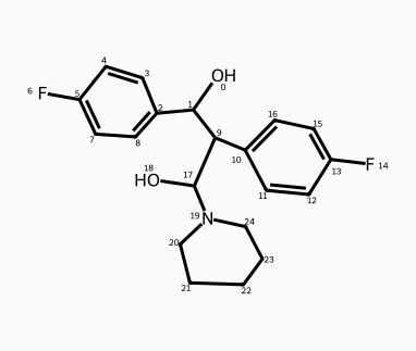 OC(c1ccc(F)cc1)C(c1ccc(F)cc1)C(O)N1CCCCC1